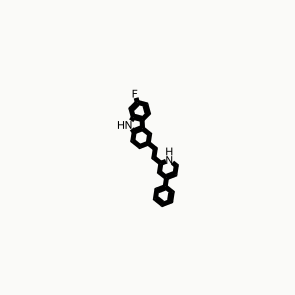 Fc1ccc2c3c([nH]c2c1)CCC(CCC1CC(c2ccccc2)=CCN1)C3